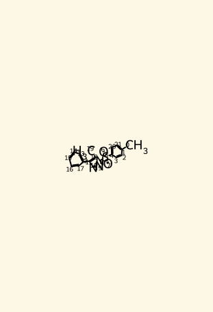 Cc1ccc(S(=O)(=O)n2nnc(-c3ccccc3)c2C)cc1